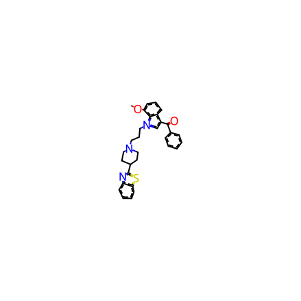 COc1cccc2c(C(=O)c3ccccc3)cn(CCCN3CCC(c4nc5ccccc5s4)CC3)c12